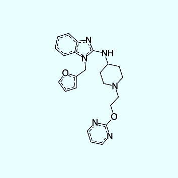 c1cnc(OCCN2CCC(Nc3nc4ccccc4n3Cc3ccco3)CC2)nc1